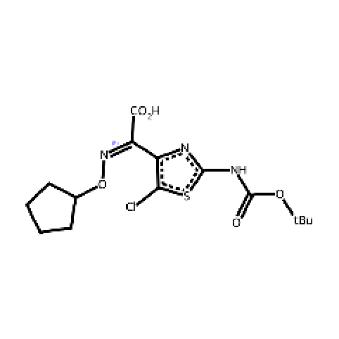 CC(C)(C)OC(=O)Nc1nc(/C(=N\OC2CCCC2)C(=O)O)c(Cl)s1